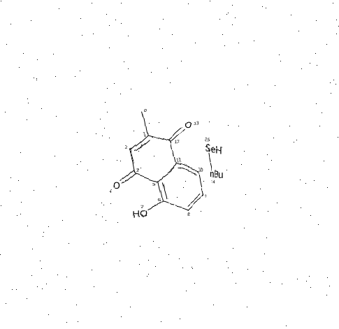 CC1=CC(=O)c2c(O)cccc2C1=O.CCCC[SeH]